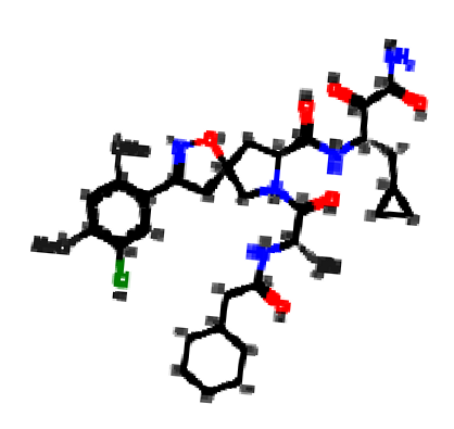 COc1cc(OC)c(C2=NO[C@]3(C2)C[C@@H](C(=O)N[C@@H](CC2CC2)C(=O)C(N)=O)N(C(=O)[C@@H](NC(=O)CC2CCCCC2)C(C)(C)C)C3)cc1Cl